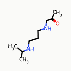 CC(=O)CNCCCNC(C)C